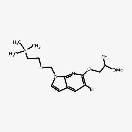 COC(C)COc1nc2c(ccn2COCC[Si](C)(C)C)cc1Br